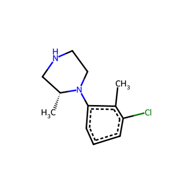 Cc1c(Cl)cccc1N1CCNC[C@H]1C